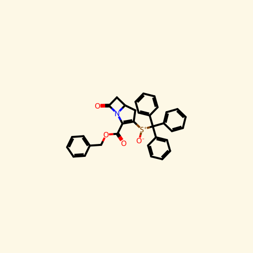 O=C(OCc1ccccc1)C1=C([S+]([O-])C(c2ccccc2)(c2ccccc2)c2ccccc2)CC2CC(=O)N12